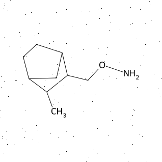 CC1C2CCC(C2)C1CON